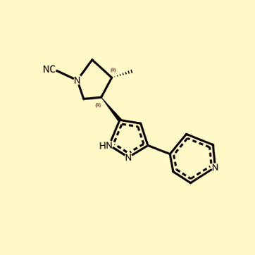 C[C@H]1CN(C#N)C[C@@H]1c1cc(-c2ccncc2)n[nH]1